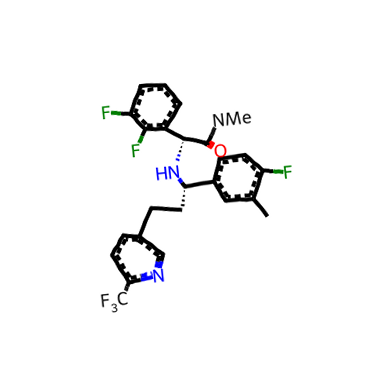 CNC(=O)[C@H](N[C@@H](CCc1ccc(C(F)(F)F)nc1)c1ccc(F)c(C)c1)c1cccc(F)c1F